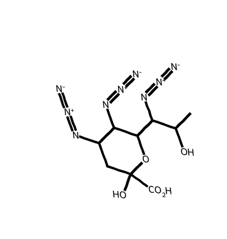 CC(O)C(N=[N+]=[N-])C1OC(O)(C(=O)O)CC(N=[N+]=[N-])C1N=[N+]=[N-]